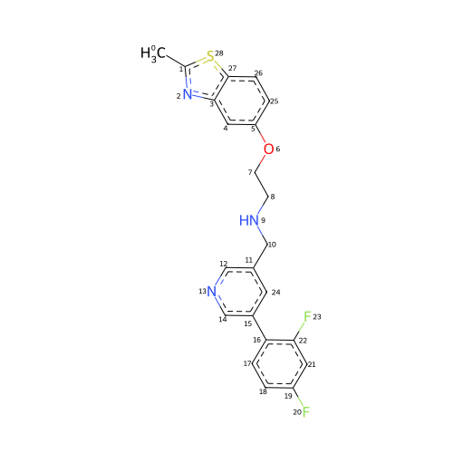 Cc1nc2cc(OCCNCc3cncc(-c4ccc(F)cc4F)c3)ccc2s1